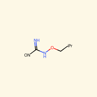 CC(C)CONC(=N)N=O